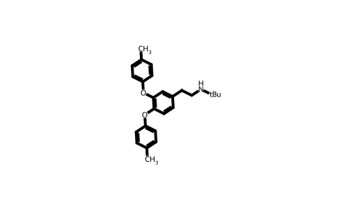 Cc1ccc(Oc2ccc([CH]CNC(C)(C)C)cc2Oc2ccc(C)cc2)cc1